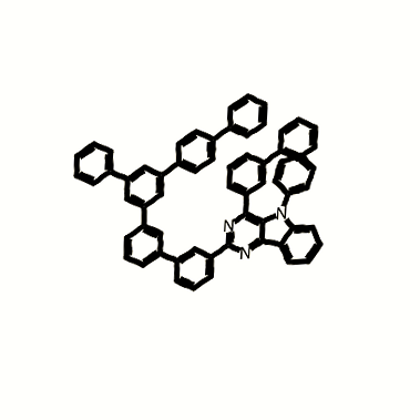 c1ccc(-c2ccc(-c3cc(-c4ccccc4)cc(-c4cccc(-c5cccc(-c6nc(-c7cccc(-c8ccccc8)c7)c7c(n6)c6ccccc6n7-c6ccccc6)c5)c4)c3)cc2)cc1